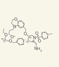 CCO[C@H](C)COCc1ccc([C@H]2C[C@H](CN)N(S(=O)(=O)c3ccc(C)cc3)C[C@@H]2OCc2ccc3c(c2)N(CCCOC)CCO3)cc1